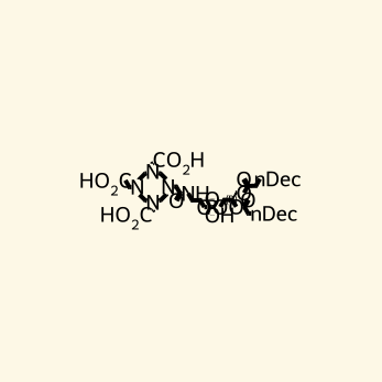 CCCCCCCCCCCC(=O)OC[C@H](COP(=O)(O)OCCNC(=O)CN1CCN(CC(=O)O)CCN(CC(=O)O)CCN(CC(=O)O)CC1)OC(=O)CCCCCCCCCCC